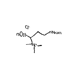 CCCCCCCCCCCC(CCCCCCCC)[N+](C)(C)C.[Cl-]